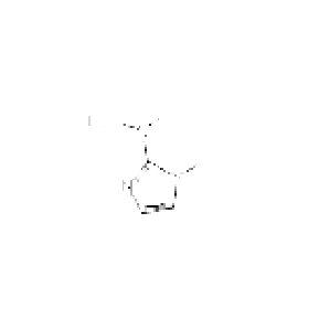 CN(C)c1nccn1C